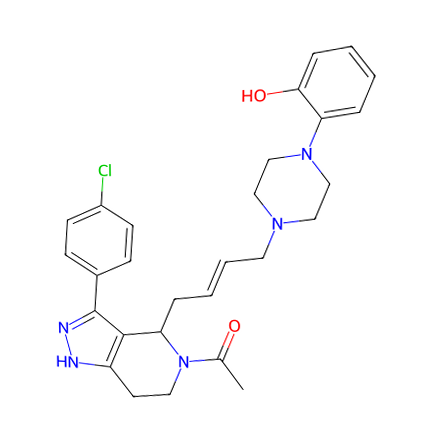 CC(=O)N1CCc2[nH]nc(-c3ccc(Cl)cc3)c2C1CC=CCN1CCN(c2ccccc2O)CC1